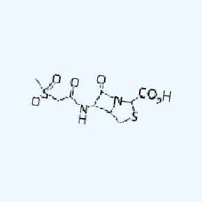 CS(=O)(=O)CC(=O)NC1C(=O)N2C(C(=O)O)SCC12